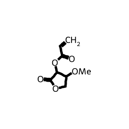 C=CC(=O)OC1C(=O)OCC1OC